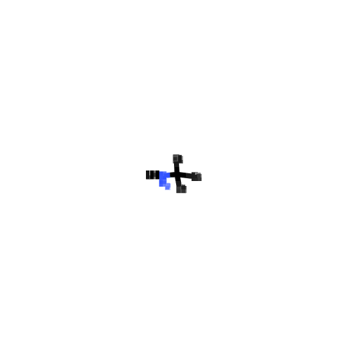 CCC(N)(CC)CC.[LiH]